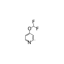 FC(F)Oc1c[c]ncc1